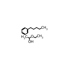 CCCCCc1ccccc1.CCOC(C)O